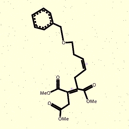 COC(=O)C/C(C(=O)OC)=C(/C/C=C\CCOCc1ccccc1)C(=O)OC